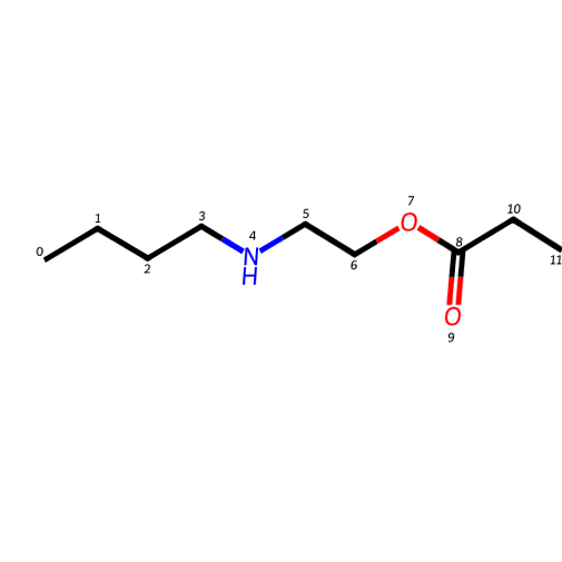 CCCCNCCOC(=O)CC